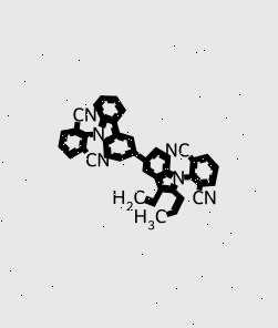 C=Cc1c(/C=C\C)n(-c2c(C#N)cccc2C#N)c2ccc(-c3ccc4c(c3)c3ccccc3n4-c3c(C#N)cccc3C#N)cc12